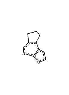 c1cc2c3c(cnc2o1)CCC3